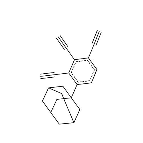 C#Cc1ccc(C23CC4CC(CC(C4)C2)C3)c(C#C)c1C#C